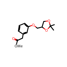 COC(=O)Cc1cccc(OCC2COC(C)(C)O2)c1